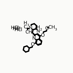 COCCOc1cc(CC2C(N)CCCN2C(C)C)nc2c(OCC3CCCCC3)cccc12.Cl.Cl.Cl